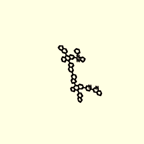 c1ccc(-n2c(-c3ccc4c(-c5ccc6ccccc6c5)c5ccccc5c(-c5ccc6cc(-c7ccc8cc(-c9c%10ccccc%10c(-c%10ccc%11ccccc%11c%10)c%10cc(-c%11ccc(-c%12cnc%13ccccc%13c%12)nc%11)ccc9%10)ccc8c7)ccc6c5)c4c3)nc3ccccc32)cc1